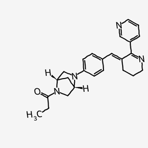 CCC(=O)N1C[C@@H]2C[C@H]1CN2c1ccc(C=C2CCCN=C2c2cccnc2)cc1